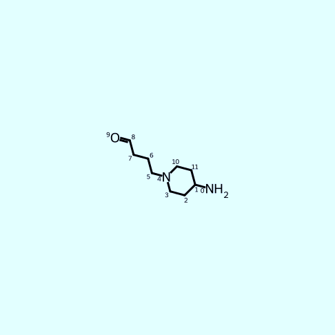 NC1CCN(CCCC=O)CC1